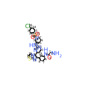 NCC(=O)Nc1cccc(-c2nc3sccn3c2-c2ccnc(N[C@@H]3CCCN(S(=O)(=O)c4ccc(Cl)cc4)C3)n2)c1